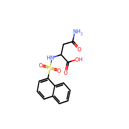 NC(=O)CC(NS(=O)(=O)c1cccc2ccccc12)C(=O)O